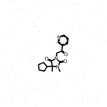 CN1C(=O)N(CC(=O)c2cccnc2)C(=O)C1(C)C1CCCC1